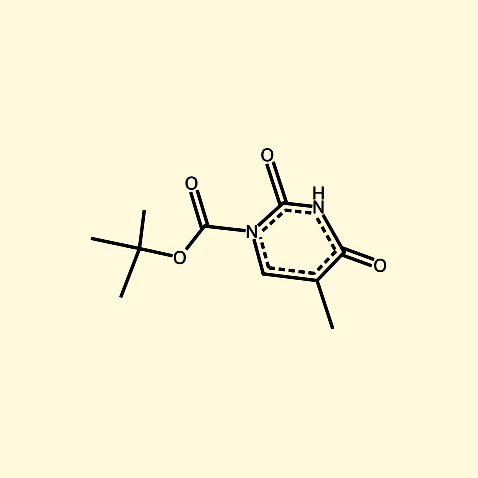 Cc1cn(C(=O)OC(C)(C)C)c(=O)[nH]c1=O